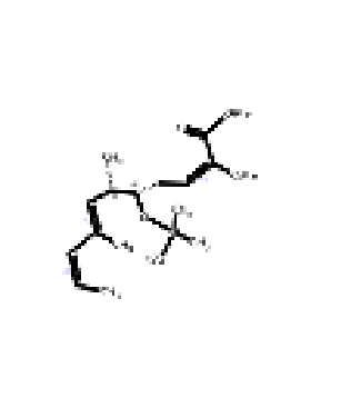 C/C=C\C(C)=C\[C@H](C)[C@H](C/C=C(/OC)C(=O)OC)O[Si](C)(C)C(C)(C)C